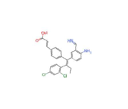 CC/C(=C(/c1ccc(/C=C/C(=O)O)cc1)c1ccc(N)c(C=N)c1)c1ccc(Cl)cc1Cl